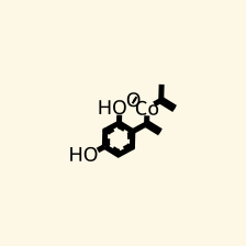 C=[C](C)[Co](=[O])[C](=C)c1ccc(O)cc1O